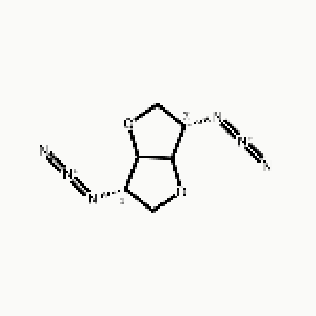 [N-]=[N+]=N[C@H]1COC2C1OC[C@@H]2N=[N+]=[N-]